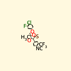 [C-]#[N+]c1ccc(C2C(=O)C(C)(COc3ccc(Cl)c(F)c3)OC2=S)cc1C(F)(F)F